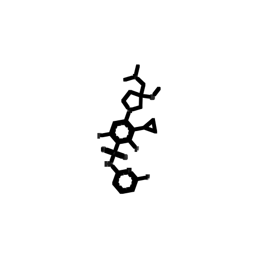 COC1(CN(C)C)CCN(c2cc(F)c(S(=O)(=O)Nc3cccc(F)n3)c(F)c2C2CC2)C1